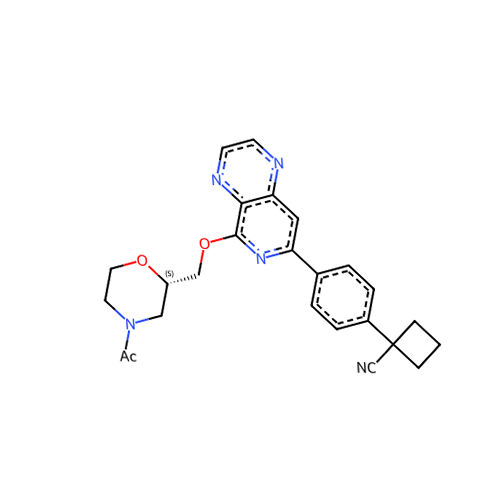 CC(=O)N1CCO[C@H](COc2nc(-c3ccc(C4(C#N)CCC4)cc3)cc3nccnc23)C1